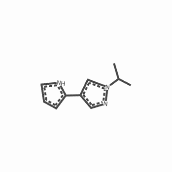 CC(C)n1cc(-c2ccc[nH]2)cn1